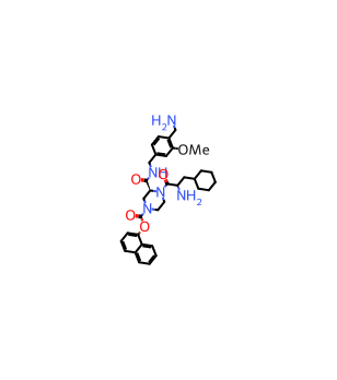 COc1cc(CNC(=O)[C@@H]2CN(C(=O)Oc3cccc4ccccc34)CCN2C(=O)[C@H](N)CC2CCCCC2)ccc1CN